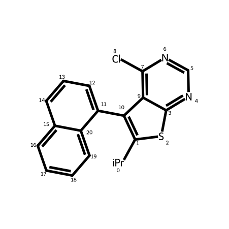 CC(C)c1sc2ncnc(Cl)c2c1-c1cccc2ccccc12